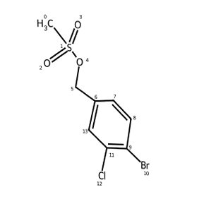 CS(=O)(=O)OCc1ccc(Br)c(Cl)c1